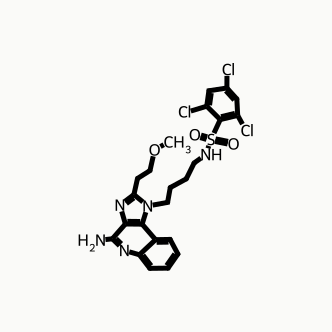 COCCc1nc2c(N)nc3ccccc3c2n1CCCCNS(=O)(=O)c1c(Cl)cc(Cl)cc1Cl